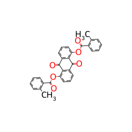 Cc1ccccc1C(=O)Oc1cccc2c1C(=O)c1cccc(OC(=O)c3ccccc3C)c1C2=O